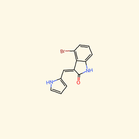 O=C1Nc2cccc(Br)c2C1=Cc1ccc[nH]1